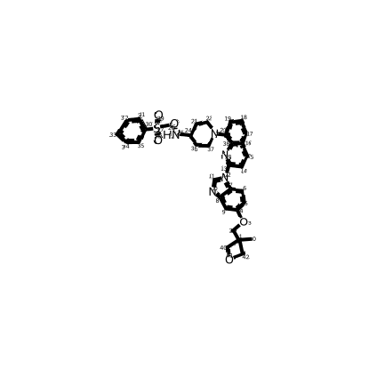 CC1(COc2ccc3c(c2)ncn3-c2ccc3cccc(N4CCC(NOS(=O)(=O)c5ccccc5)CC4)c3n2)COC1